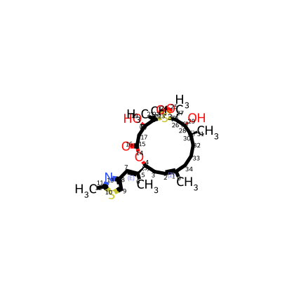 C/C1=C/C[C@@H](/C(C)=C/c2csc(C)n2)OC(=O)C[C@@H](O)C(C)(C)S(=O)(=O)[C@H](C)[C@@H](O)[C@@H](C)CCC1